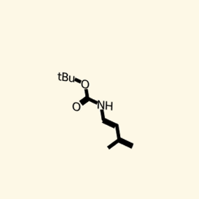 C=C(C)C=CNC(=O)OC(C)(C)C